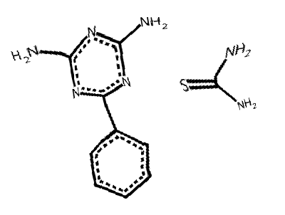 NC(N)=S.Nc1nc(N)nc(-c2ccccc2)n1